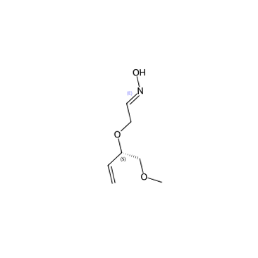 C=C[C@@H](COC)OC/C=N/O